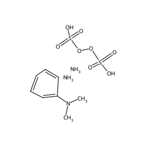 CN(C)c1ccccc1.N.N.O=S(=O)(O)OOS(=O)(=O)O